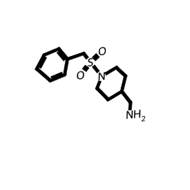 NCC1CCN(S(=O)(=O)Cc2ccccc2)CC1